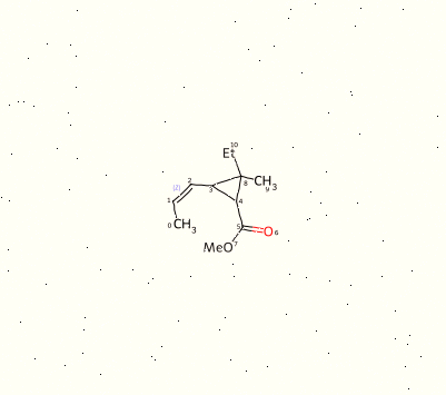 C/C=C\C1C(C(=O)OC)C1(C)CC